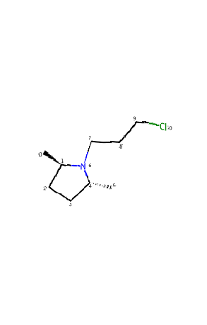 C[C@@H]1CC[C@@H](C)N1CCCCl